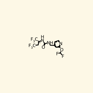 O=C(NCc1ccnc(OC(F)F)c1)N[C@@H](CC(F)(F)F)C(F)(F)F